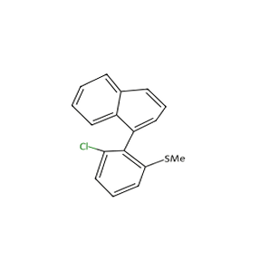 CSc1cccc(Cl)c1-c1cccc2ccccc12